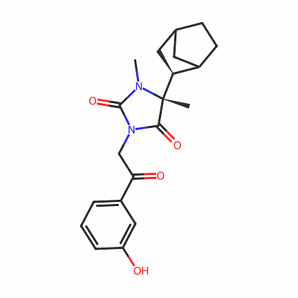 CN1C(=O)N(CC(=O)c2cccc(O)c2)C(=O)[C@@]1(C)[C@H]1CC2CCC1C2